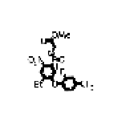 CCc1cc([N+](=O)[O-])c([PH](=O)OCC(=O)OC)cc1Oc1ccc(C(F)(F)F)cc1F